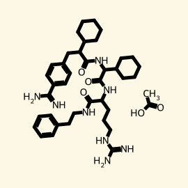 CC(=O)O.N=C(N)NCCCC(NC(=O)C(NC(=O)C(Cc1ccc(C(=N)N)cc1)C1CCCCC1)C1CCCCC1)C(=O)NCCc1ccccc1